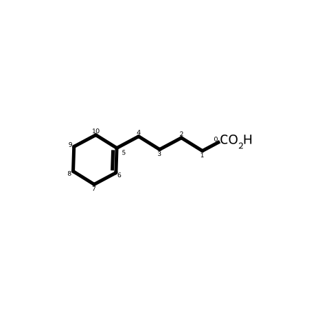 O=C(O)CCCCC1=CCCCC1